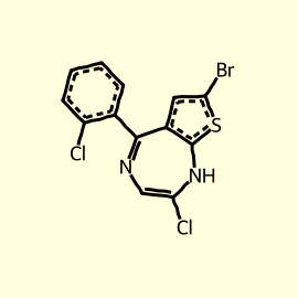 ClC1=CN=C(c2ccccc2Cl)c2cc(Br)sc2N1